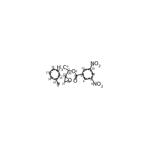 C[C@@H](OC(=O)c1cc([N+](=O)[O-])cc([N+](=O)[O-])c1)[C@]1(c2ccccc2F)CO1